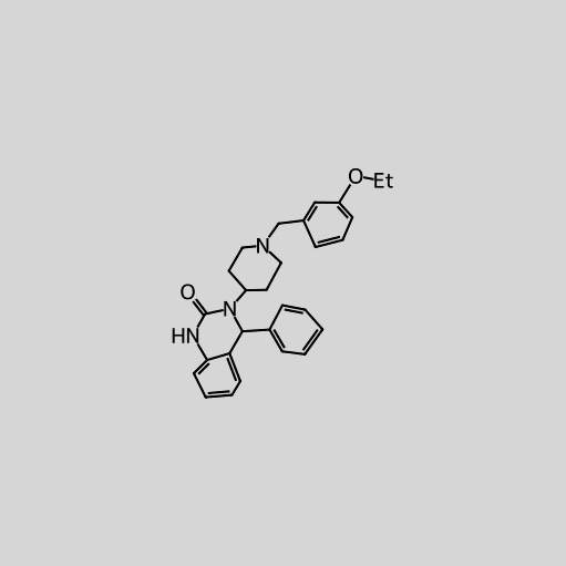 CCOc1cccc(CN2CCC(N3C(=O)Nc4ccccc4C3c3ccccc3)CC2)c1